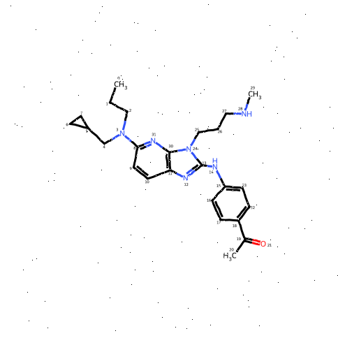 CCCN(CC1CC1)c1ccc2nc(Nc3ccc(C(C)=O)cc3)n(CCCNC)c2n1